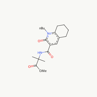 CCCCn1c2c(cc(C(=O)NC(C)(C)C(=O)OC)c1=O)CCCC2